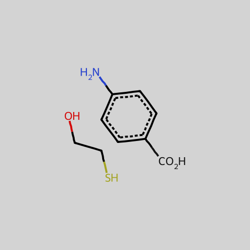 Nc1ccc(C(=O)O)cc1.OCCS